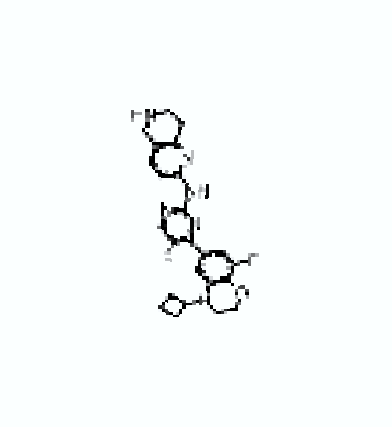 Fc1cnc(Nc2ccc3c(n2)CCNC3)nc1-c1cc(F)c2c(c1)N(C1CCC1)CCO2